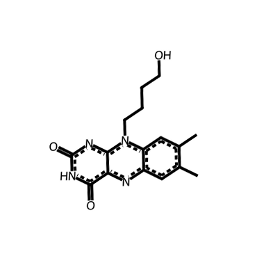 Cc1cc2nc3c(=O)[nH]c(=O)nc-3n(CCCCO)c2cc1C